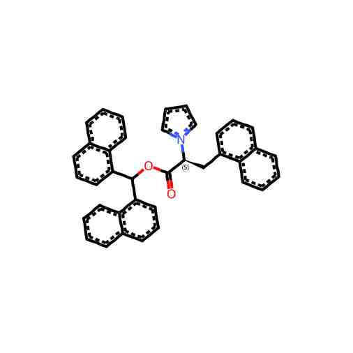 O=C(OC(c1cccc2ccccc12)c1cccc2ccccc12)[C@H](Cc1cccc2ccccc12)n1cccc1